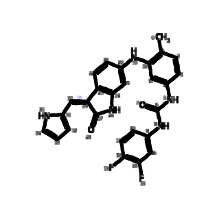 Cc1ccc(NC(=O)Nc2ccc(F)c(F)c2)cc1Nc1ccc2c(c1)NC(=O)/C2=C\c1ccc[nH]1